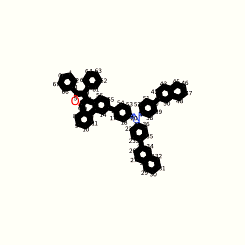 c1ccc(-c2oc3c4ccccc4c4cc(-c5ccc(N(c6ccc(-c7ccc8ccccc8c7)cc6)c6ccc(-c7ccc8ccccc8c7)cc6)cc5)ccc4c3c2-c2ccccc2)cc1